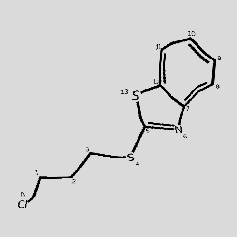 ClCCCSc1nc2ccccc2s1